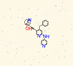 OC1(C#Cc2cnc(Nc3ccncc3)cc2Cc2ccccc2)CN2CCC1CC2